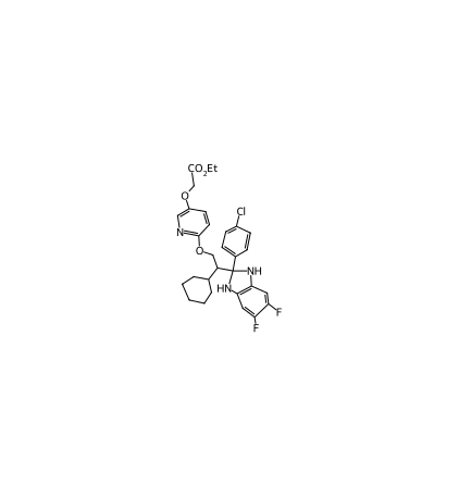 CCOC(=O)COc1ccc(OCC(C2CCCCC2)C2(c3ccc(Cl)cc3)Nc3cc(F)c(F)cc3N2)nc1